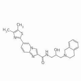 Cc1nc(-c2ccc3nc(C(=O)NCC(O)CN4CCc5ccccc5C4)cn3c2)sc1C